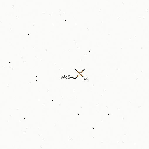 CCS(C)(C)CSC